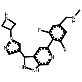 CNCc1cc(F)c(-c2cc3c(cn2)NNC3c2cnn(C3CNC3)c2)c(F)c1